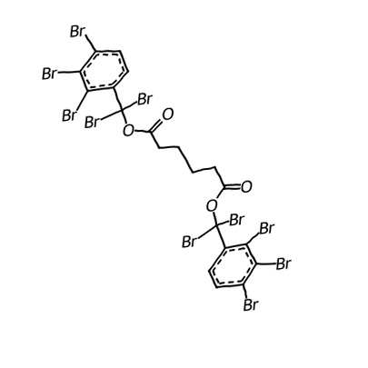 O=C(CCCCC(=O)OC(Br)(Br)c1ccc(Br)c(Br)c1Br)OC(Br)(Br)c1ccc(Br)c(Br)c1Br